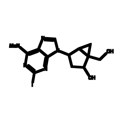 CNc1nc(I)nc2c1ncn2C1CC(O)C2(CO)CC12